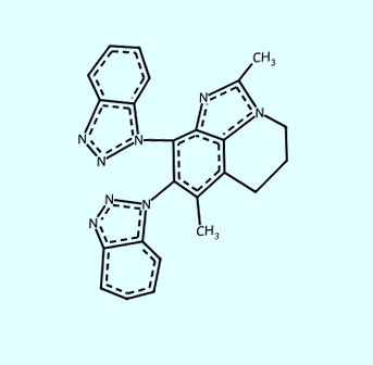 Cc1c(-n2nnc3ccccc32)c(-n2nnc3ccccc32)c2nc(C)n3c2c1CCC3